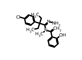 C=C(c1ccccc1O)N(C)/C(=N\N)C(CC)(CC)c1ccc(Cl)cc1